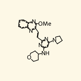 COc1nc2ccccc2nc1C=Cc1nc(NC2CCOCC2)cc(N2CCCC2)n1